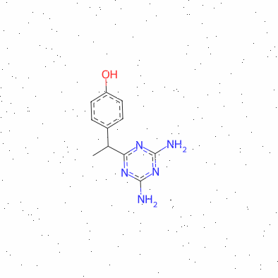 CC(c1ccc(O)cc1)c1nc(N)nc(N)n1